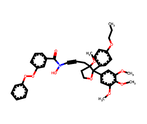 CCCOc1ccc(C2(c3cc(OC)c(OC)c(OC)c3)OCCC2(CC#CN(O)C(=O)c2cccc(OOc3ccccc3)c2)OC)cc1